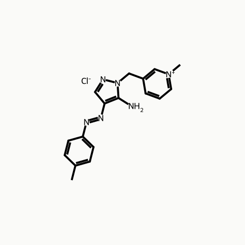 Cc1ccc(N=Nc2cnn(Cc3ccc[n+](C)c3)c2N)cc1.[Cl-]